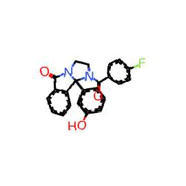 O=C(c1ccc(F)cc1)N1CCN2C(=O)c3ccccc3C12c1cccc(O)c1